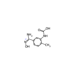 Cc1ccc(/C(N)=N\O)cc1NC(=O)O